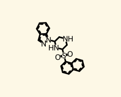 O=S(=O)(c1cccc2ccccc12)C1CNCC(n2ncc3ccccc32)N1